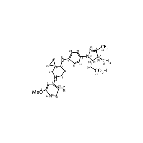 COc1cc(N2CCC(Oc3ccc(N4N=C(C(F)(F)F)[C@@H](C)[C@@H]4CC(=O)O)cc3)C3(CC3)C2)c(Cl)cn1